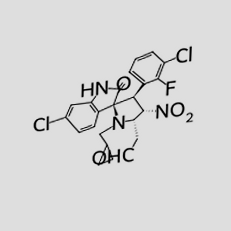 O=CC[C@H]1[C@@H]([N+](=O)[O-])[C@H](c2cccc(Cl)c2F)[C@]2(C(=O)Nc3cc(Cl)ccc32)N1CC1CC1